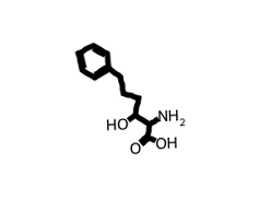 NC(C(=O)O)C(O)CCCc1ccccc1